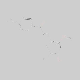 CCCOc1cc(O)c(C(C)C)cc1C=CC(=O)c1ccc(NC)cc1